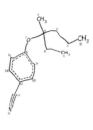 CCCC(C)(CC)Oc1ccc(C#N)cc1